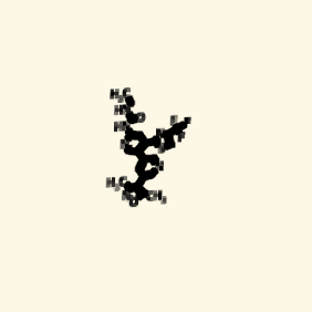 CCNC(=O)Nc1cc(-c2nc(C(F)(F)F)cs2)c(-c2cncc(-c3c(C)noc3C)c2)cn1